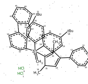 Cl.Cl.[CH2]=[Zr]([C]1=C(C)C(c2ccccc2)=CC1C)([c]1ccc(C(C)(C)C)cc1)([c]1ccc(C(C)(C)C)cc1)[c]1cccc2c1Cc1ccccc1-2